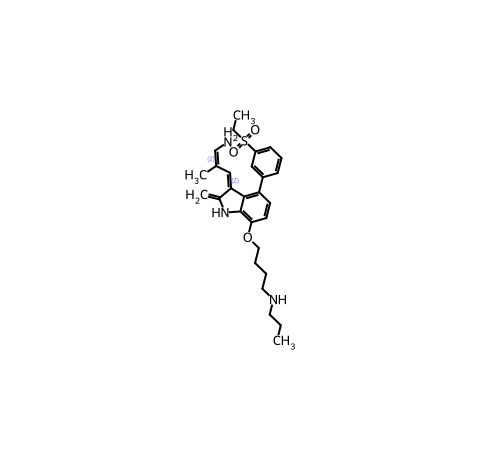 C=c1[nH]c2c(OCCCCNCCC)ccc(-c3cccc(S(=O)(=O)CC)c3)c2/c1=C/C(C)=C\N